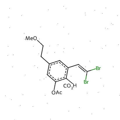 COCCc1cc(C=C(Br)Br)c(C(=O)O)c(OC(C)=O)c1